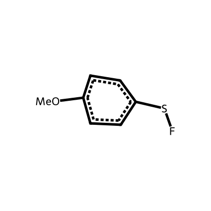 COc1ccc(SF)cc1